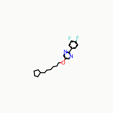 Fc1ccc(-c2ncc(OCCCCCCC3CCCC3)cn2)cc1F